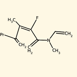 C=CN(C)C(=C)/C(F)=C(/C)C(=C)C(C)C